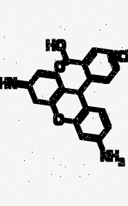 Cl.N=C1C=CC2=C(C1)Oc1cc(N)ccc1C2c1ccccc1C(=O)O